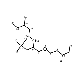 CCC(C)CCOCC(CC(C)(C)C)OCCC(C)CC